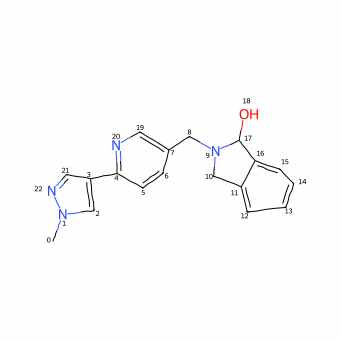 Cn1cc(-c2ccc(CN3Cc4ccccc4C3O)cn2)cn1